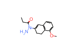 CCC(=O)N(N)C1=Cc2cccc(OC)c2CC1